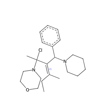 CC/C(C)=C(/C(c1ccccc1)N1CCCCC1)C(C)(Cl)N1CCOCC1